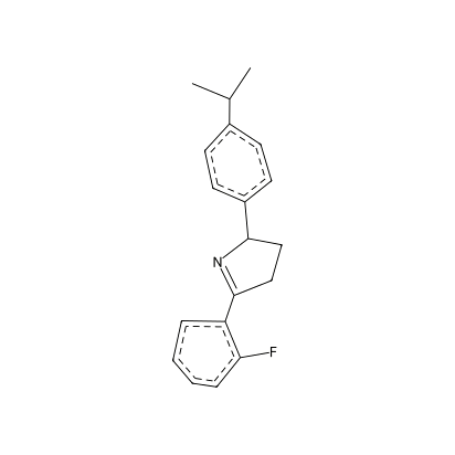 CC(C)c1ccc(C2CCC(c3ccccc3F)=N2)cc1